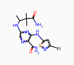 CCc1cc(Nc2nc(NC(C)C(C)(C)C(N)=O)cnc2C(N)=O)sn1